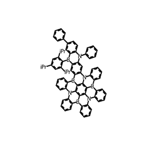 CC(C)c1cc(C(C)C)c(B2c3cc(-c4ccccc4)ccc3N(c3ccccc3)c3cc4c(cc32)B2c3ccccc3N3c5ccccc5B5c6ccccc6N6c7ccccc7B7c8ccccc8N4c4c7c6c5c3c42)c(C(C)C)c1